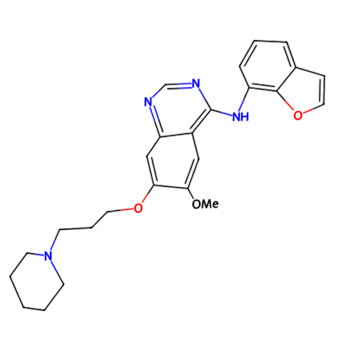 COc1cc2c(Nc3cccc4ccoc34)ncnc2cc1OCCCN1CCCCC1